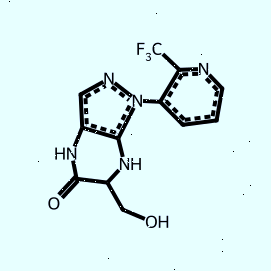 O=C1Nc2cnn(-c3cccnc3C(F)(F)F)c2NC1CO